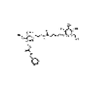 CO[C@H]1C(OC(C)(C)C)[C@@H](COC(=O)OCc2ccccc2)O[C@H]1CCCNC(=O)CCCCO[C@H]1O[C@H](CO)[C@@H](O)[C@H](O)[C@@H]1O